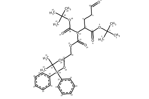 CC(C)(C)OC(=O)C(CCC=O)N(C(=O)OCCO[Si](c1ccccc1)(c1ccccc1)C(C)(C)C)C(=O)OC(C)(C)C